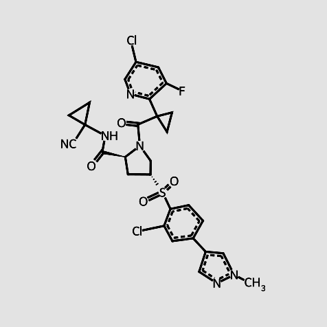 Cn1cc(-c2ccc(S(=O)(=O)[C@@H]3C[C@@H](C(=O)NC4(C#N)CC4)N(C(=O)C4(c5ncc(Cl)cc5F)CC4)C3)c(Cl)c2)cn1